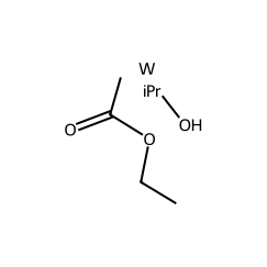 CC(C)O.CCOC(C)=O.[W]